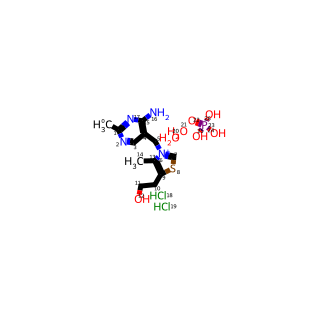 Cc1ncc(C[n+]2csc(CCO)c2C)c(N)n1.Cl.Cl.O.O.O=P(O)(O)O